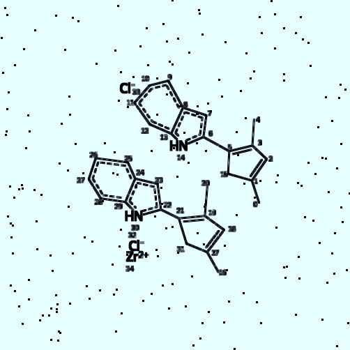 CC1=CC(C)=C(c2cc3ccccc3[nH]2)C1.CC1=CC(C)=C(c2cc3ccccc3[nH]2)C1.[Cl-].[Cl-].[Zr+2]